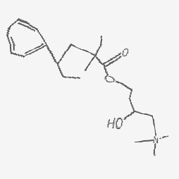 CCC(CC(C)(C)C(=O)OCC(O)C[N+](C)(C)C)c1ccccc1